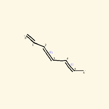 [CH]=C/C=C/C=C/[CH2]